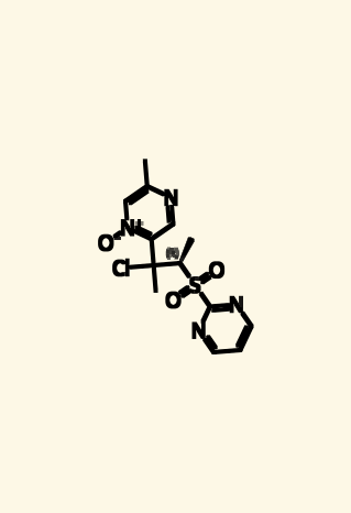 Cc1c[n+]([O-])c(C(C)(Cl)[C@@H](C)S(=O)(=O)c2ncccn2)cn1